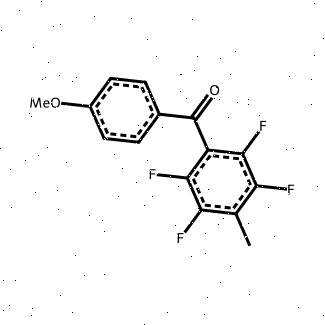 COc1ccc(C(=O)c2c(F)c(F)c(C)c(F)c2F)cc1